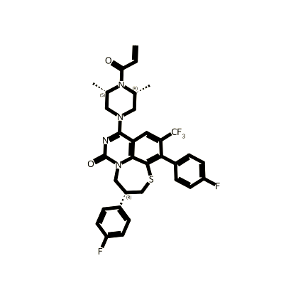 C=CC(=O)N1[C@H](C)CN(c2nc(=O)n3c4c(c(-c5ccc(F)cc5)c(C(F)(F)F)cc24)SC[C@H](c2ccc(F)cc2)C3)C[C@@H]1C